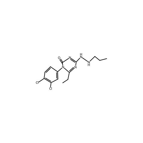 CCCNNc1nc(CC)n(-c2ccc(Cl)c(Cl)c2)c(=O)n1